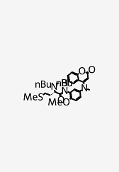 CCCCN(CCCC)[C@@H](CCSC)C(=O)Nc1cc(N(C)c2cc(=O)oc3ccccc23)ccc1OC